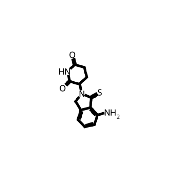 Nc1cccc2c1C(=S)N(C1CCC(=O)NC1=O)C2